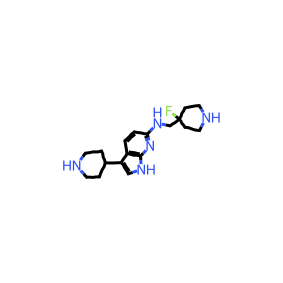 FC1(CNc2ccc3c(C4CCNCC4)c[nH]c3n2)CCNCC1